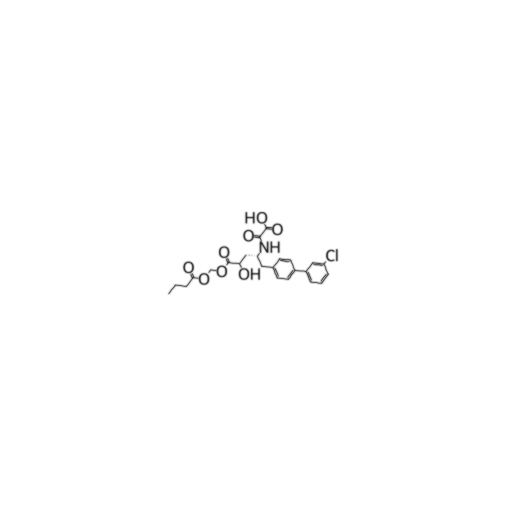 CCCC(=O)OCOC(=O)C(O)C[C@@H](Cc1ccc(-c2cccc(Cl)c2)cc1)NC(=O)C(=O)O